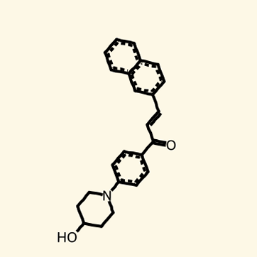 O=C(C=Cc1ccc2ccccc2c1)c1ccc(N2CCC(O)CC2)cc1